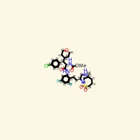 COC(=O)N[C@H](C(=O)Nc1cc(F)cc(F)c1CC[C@H]1CN[C@@H]2CCCS(=O)(=O)N1C2)[C@@H](c1ccc(Cl)cc1)C1CCOCC1